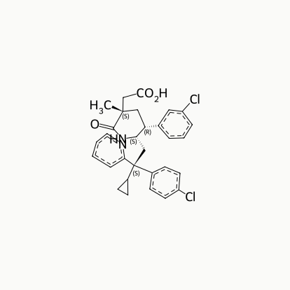 C[C@@]1(CC(=O)O)C[C@H](c2cccc(Cl)c2)[C@H](C[C@](c2ccc(Cl)cc2)(c2ccccn2)C2CC2)NC1=O